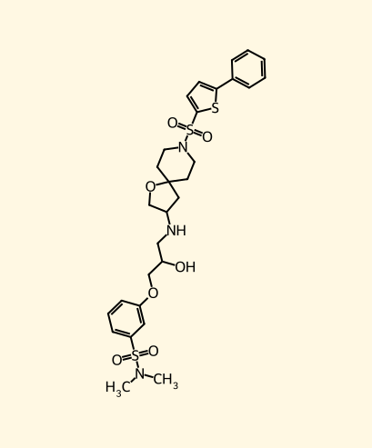 CN(C)S(=O)(=O)c1cccc(OCC(O)CNC2COC3(CCN(S(=O)(=O)c4ccc(-c5ccccc5)s4)CC3)C2)c1